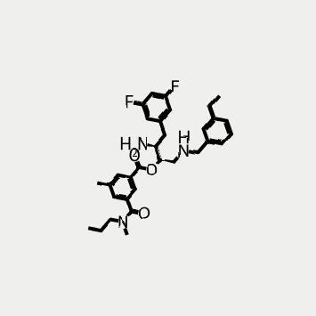 CCCN(C)C(=O)c1cc(C)cc(C(=O)O[C@H](CNCc2cccc(CC)c2)[C@@H](N)Cc2cc(F)cc(F)c2)c1